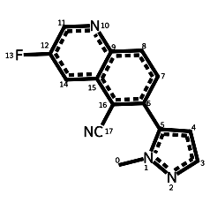 Cn1nccc1-c1ccc2ncc(F)cc2c1C#N